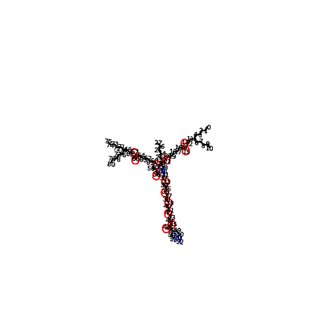 CCCCCC(CCCCC)CCOC(=O)CCCCCOC(CCCCC)C(CN(CCOCCOCCOCCOCCOC(=O)C1CCN(C)CC1)C(=O)CC)OCCCCCC(=O)OCCC(CCCCC)CCCCC